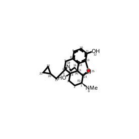 CN[C@H]1CC[C@]2(O)C3Cc4ccc(O)c5c4[C@]2(CCN3CC2CC2)[C@@H]1O5